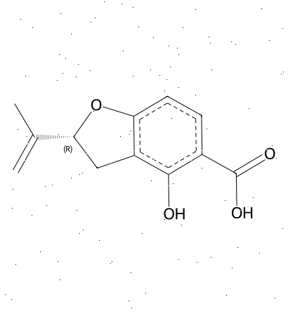 C=C(C)[C@H]1Cc2c(ccc(C(=O)O)c2O)O1